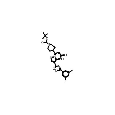 CC(C)(C)OC(=O)N1CCC(c2cc(=O)[nH]c3c(-c4nc(-c5cc(F)cc(Cl)c5)no4)cnn23)CC1